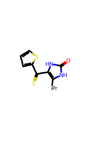 CC(C)c1[nH]c(=O)[nH]c1C(=S)c1cccs1